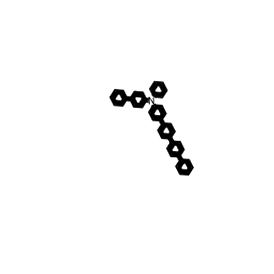 c1ccc(-c2ccc(-c3ccc(-c4ccc(N(c5ccccc5)c5ccc(-c6ccccc6)cc5)cc4)cc3)cc2)cc1